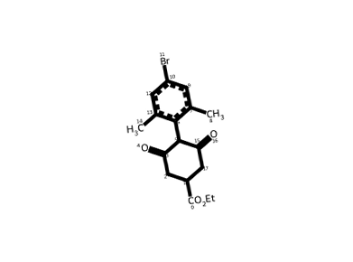 CCOC(=O)C1CC(=O)C(c2c(C)cc(Br)cc2C)C(=O)C1